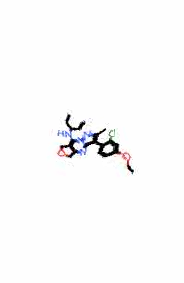 CCOc1ccc(-c2c(C)nn3c(NC(CC)CC)c4c(nc23)COC4)c(Cl)c1